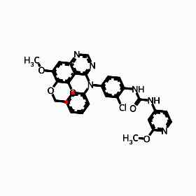 COc1cc(NC(=O)Nc2ccc(N(c3ccccc3)c3ncnc4cc(OC)c5c(c34)OCCO5)cc2Cl)ccn1